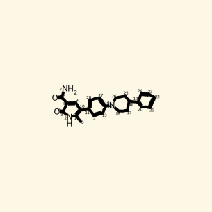 Cc1[nH]c(=O)c(C(N)=O)cc1-c1ccc(N2CCC(c3ccccc3)CC2)cc1